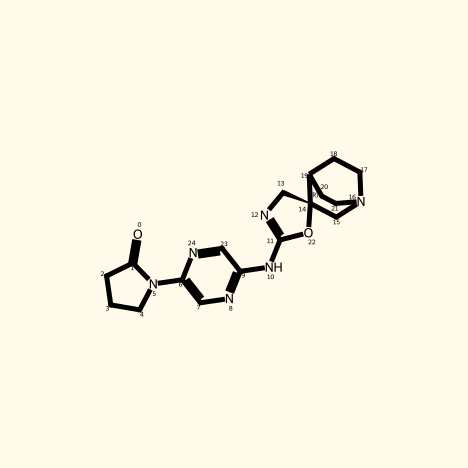 O=C1CCCN1c1cnc(NC2=NC[C@@]3(CN4CCC3CC4)O2)cn1